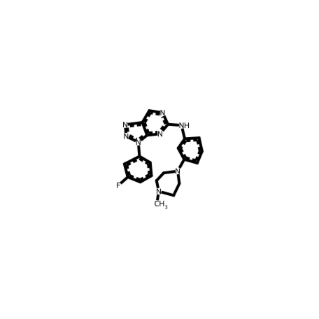 CN1CCN(c2cccc(Nc3ncc4nnn(-c5cccc(F)c5)c4n3)c2)CC1